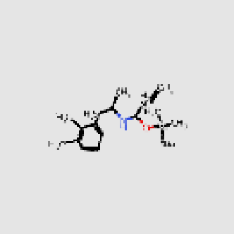 C=C[SiH2]C(NC(C)[SiH2]c1cccc(C)c1C)O[Si](C)(C)C(C)(C)C